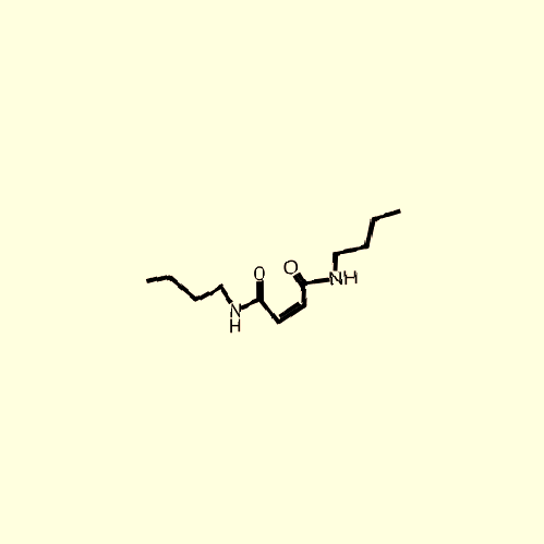 CCCCNC(=O)/C=C\C(=O)NCCCC